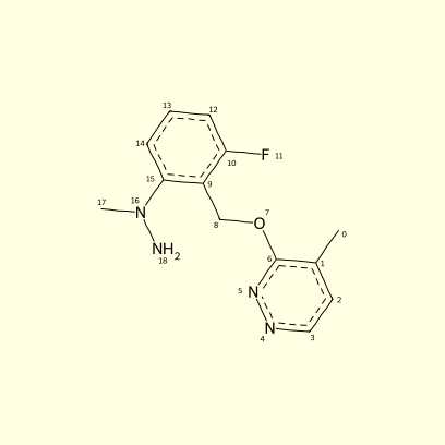 Cc1ccnnc1OCc1c(F)cccc1N(C)N